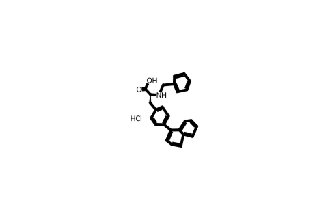 Cl.O=C(O)[C@H](Cc1ccc(-c2cccc3ccccc23)cc1)NCc1ccccc1